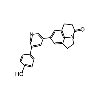 O=C1CCc2cc(-c3cncc(-c4ccc(O)cc4)c3)cc3c2N1CC3